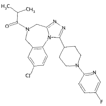 CC(C)C(=O)N1Cc2cc(Cl)ccc2-n2c(nnc2C2CCN(c3ccc(F)cn3)CC2)C1